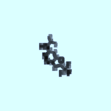 CC(C)Nc1cc2oc(C(F)(F)F)cc2nn1